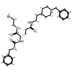 O=C(CC[C@H](NC(=O)OCc1ccccc1)C(=O)OCCBr)NCCC1CCN(Cc2ccccc2)CC1